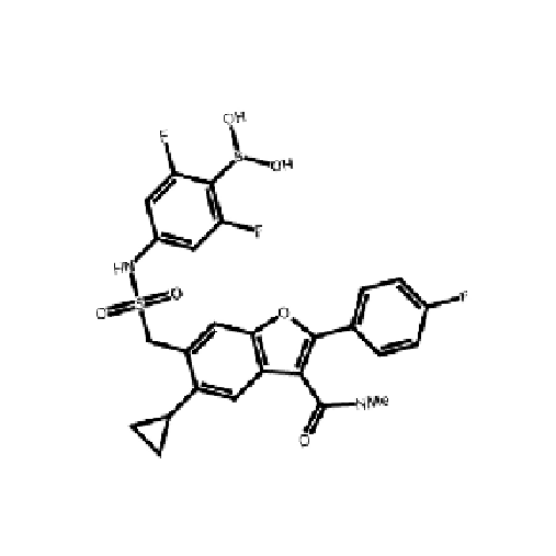 CNC(=O)c1c(-c2ccc(F)cc2)oc2cc(CS(=O)(=O)Nc3cc(F)c(B(O)O)c(F)c3)c(C3CC3)cc12